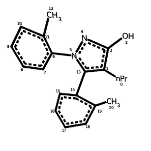 CCCc1c(O)nn(-c2ccccc2C)c1-c1ccccc1C